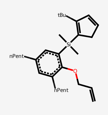 C=CCOc1c(CCCCC)cc(CCCCC)cc1[Si](C)(C)C1=C(C(C)(C)C)C=CC1